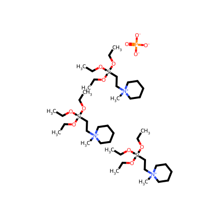 CCO[Si](CC[N+]1(C)CCCCC1)(OCC)OCC.CCO[Si](CC[N+]1(C)CCCCC1)(OCC)OCC.CCO[Si](CC[N+]1(C)CCCCC1)(OCC)OCC.O=P([O-])([O-])[O-]